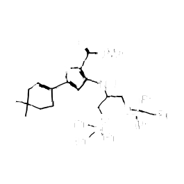 COC(=O)c1sc(C2=CCC(C)(C)CC2)cc1NC(CO[Si](C(C)C)(C(C)C)C(C)C)CO[Si](C(C)C)(C(C)C)C(C)C